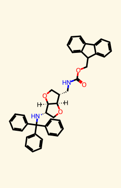 O=C(NC[C@H]1CO[C@H]2[C@@H]1OC[C@@H]2NC(c1ccccc1)(c1ccccc1)c1ccccc1)OCC1c2ccccc2-c2ccccc21